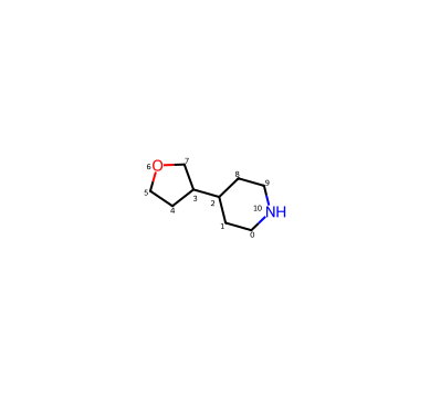 C1CC(C2CCOC2)CCN1